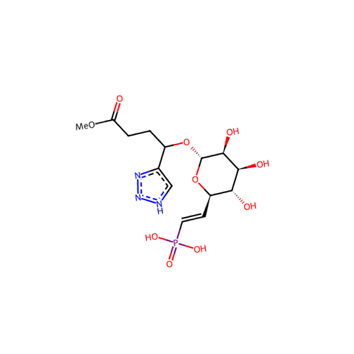 COC(=O)CCC(O[C@H]1O[C@H](C=CP(=O)(O)O)[C@@H](O)[C@H](O)[C@@H]1O)c1c[nH]nn1